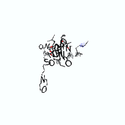 C=C[C@H](N[C@@](C=O)(CC(C)C)N(C)C(=O)[C@@H](CSCCCN1CCOCC1)N(C)C(=O)[C@H](CC)NC(=O)[C@@H](C[C@H](C)C/C=C/C)N(C)C(=O)CC(C)C)C(C)C